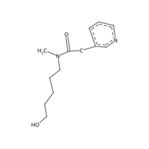 CN(CCCCCO)C(=O)Cc1cccnc1